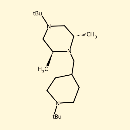 C[C@H]1CN(C(C)(C)C)C[C@H](C)N1CC1CCN(C(C)(C)C)CC1